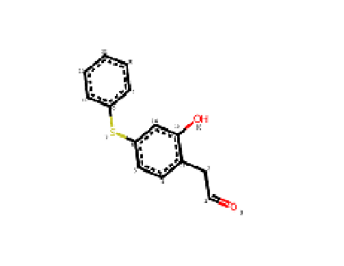 O=CCc1ccc(Sc2ccccc2)cc1O